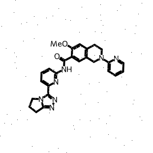 COc1cc2c(cc1C(=O)Nc1cccc(-c3nnc4n3CCC4)n1)CN(c1ccccn1)CC2